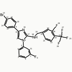 Fc1cccc(-n2cc(-c3ccc(Br)cc3)nc2NCc2ccc(C(F)(F)F)c(F)c2)c1